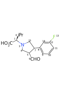 CC(C)[C@H](C(=O)O)N1CC(C=O)C(c2cccc(F)c2)C1